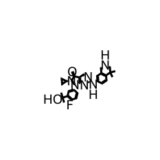 CC(C)(O)c1cc(-n2c3nc(Nc4ccc5c(c4)CNCC5(C)C)ncc3c(=O)n2C2CC2)ccc1F